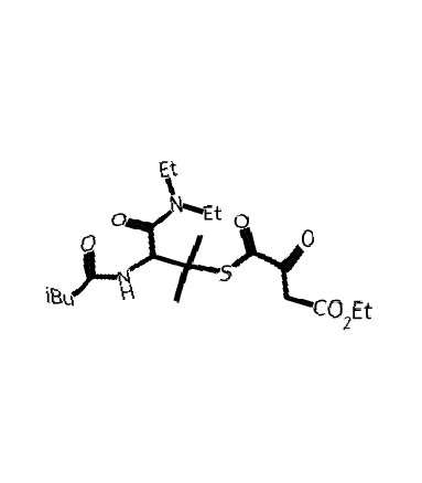 CCOC(=O)CC(=O)C(=O)SC(C)(C)C(NC(=O)C(C)CC)C(=O)N(CC)CC